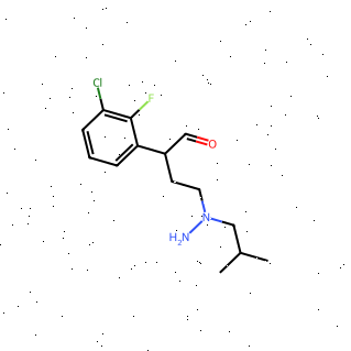 CC(C)CN(N)CCC(C=O)c1cccc(Cl)c1F